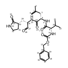 C=C(C)C[C@H](NC(=O)[C@@H](NC(=O)OCc1ccccc1)C(C)C)C(=O)N[C@H](C=O)C[C@@H]1CCNC1=O